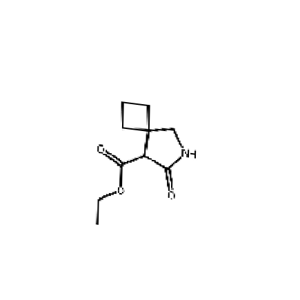 CCOC(=O)C1C(=O)NCC12CCC2